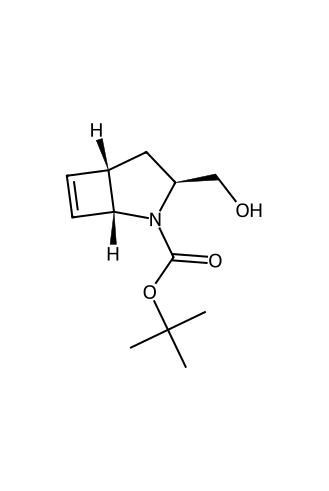 CC(C)(C)OC(=O)N1[C@H](CO)C[C@H]2C=C[C@H]21